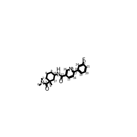 CN(C)C(=O)C1(C)CCCC(NC(=O)c2ccc(-c3cccc(F)c3)nc2)C1